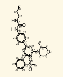 C[C@H]1COCCN1c1nc(-c2ccc(NC(=O)NCCF)cc2)nc(-c2ccccc2S(C)(=O)=O)n1